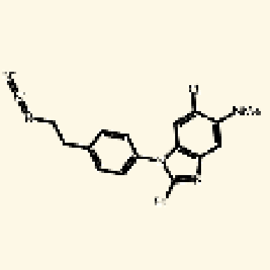 CCc1nc2cc(NC)c(Cl)cc2n1-c1ccc(CCN=[N+]=[N-])cc1